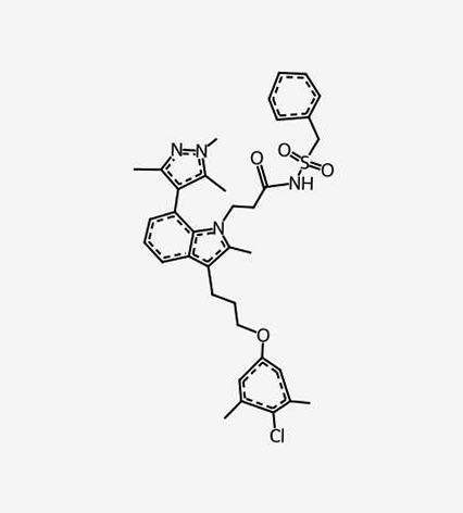 Cc1cc(OCCCc2c(C)n(CCC(=O)NS(=O)(=O)Cc3ccccc3)c3c(-c4c(C)nn(C)c4C)cccc23)cc(C)c1Cl